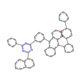 c1ccc(-c2ccc(-c3ccccc3-c3c4ccccc4c(-c4cccc(-c5nc(-c6ccccc6)nc(-c6cccc7ccccc67)n5)c4)c4ccccc34)cc2)cc1